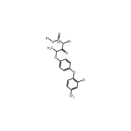 CCO[PH](=O)N(CC)C(=O)C(C)Oc1ccc(Oc2ccc(C(F)(F)F)cc2Cl)cc1